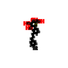 CCc1ccc(CCCc2cccc([C@@H]3S[C@H](CO)[C@@H](O)[C@H](O)[C@H]3O)c2)cc1